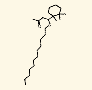 CCCCCCCCCCCCSC(CC(C)=O)C1(C)CCCCC1(C)C